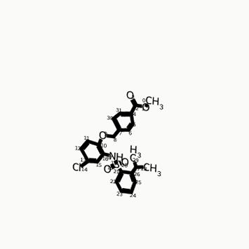 COC(=O)c1ccc(COc2ccc(Cl)cc2NS(=O)(=O)c2ccccc2C(C)C)cc1